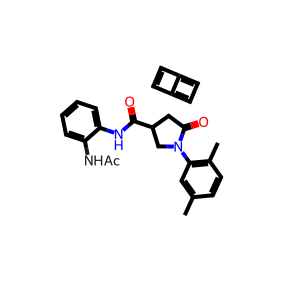 CC(=O)Nc1ccccc1NC(=O)C1CC(=O)N(c2cc(C)ccc2C)C1.c1cc2ccc1-2